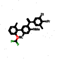 C=C(c1cc(C)c(CCC)c(CC)c1)c1cc(-c2c(C)cccc2OC(F)F)c(C#N)cc1NC